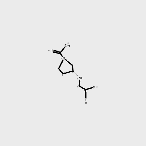 O=C(O)N1CC[C@@H](NCC(F)F)C1